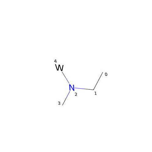 CC[N](C)[W]